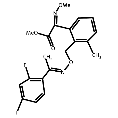 CO/N=C(/C(=O)OC)c1cccc(C)c1CO/N=C(\C)c1ccc(I)cc1F